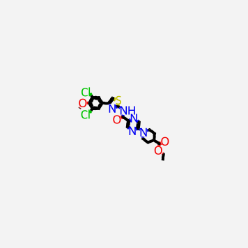 CCOC(=O)C1CCN(c2cnc(C(=O)Nc3nc(-c4cc(Cl)c(OC)c(Cl)c4)cs3)cn2)CC1